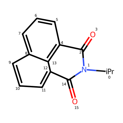 CC(C)N1C(=O)c2cccc3cccc(c23)C1=O